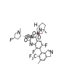 Cc1cc2c(c(-c3c(F)cc4c(N5C[C@H]6CC[C@](C)(C5)N6C(=O)OC(C)(C)C)nc(OC[C@@H]5C[C@@H](F)CN5C)nc4c3F)c1C(F)(F)F)C=NC2